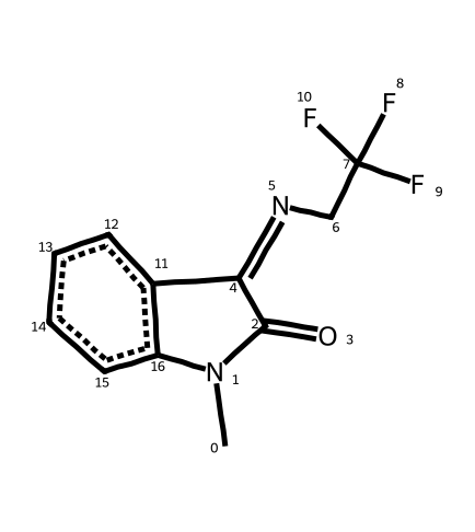 CN1C(=O)C(=NCC(F)(F)F)c2ccccc21